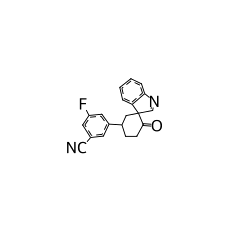 N#Cc1cc(F)cc(C2CCC(=O)C3(C=Nc4ccccc43)C2)c1